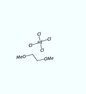 COCCOC.[Cl][Hf]([Cl])([Cl])[Cl]